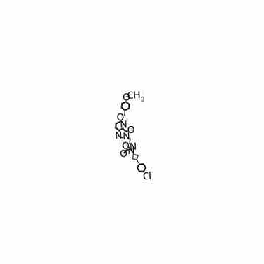 COc1ccc(COc2ccc3ncn(Cc4nn(C5CC(c6ccc(Cl)cc6)C5)c(=O)o4)c(=O)c3n2)cc1